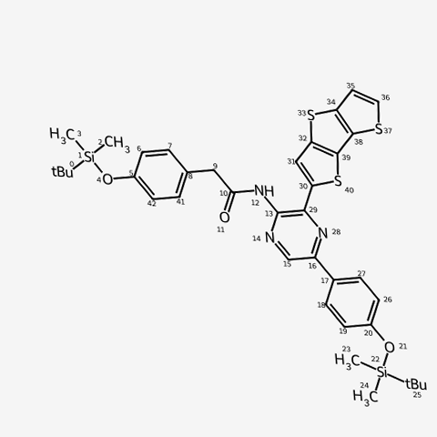 CC(C)(C)[Si](C)(C)Oc1ccc(CC(=O)Nc2ncc(-c3ccc(O[Si](C)(C)C(C)(C)C)cc3)nc2-c2cc3sc4ccsc4c3s2)cc1